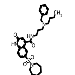 CCCCN(CCCNC(=O)c1cc(=O)[nH]c2ccc(S(=O)(=O)N3CCCCCC3)cc12)Cc1ccccc1